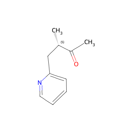 CC(=O)[C@@H](C)Cc1ccccn1